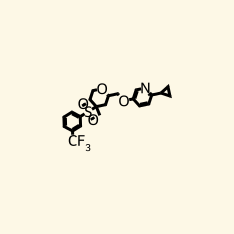 CC1(S(=O)(=O)c2cccc(C(F)(F)F)c2)CCOC(COc2ccc(C3CC3)nc2)C1